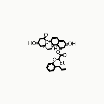 C=CCc1ccccc1OC(CC)C(=O)O[C@H]1C[C@H](O)C=C2C=C[C@H](C)[C@H](CC[C@@H]3C[C@@H](O)CC(=O)O3)[C@H]21